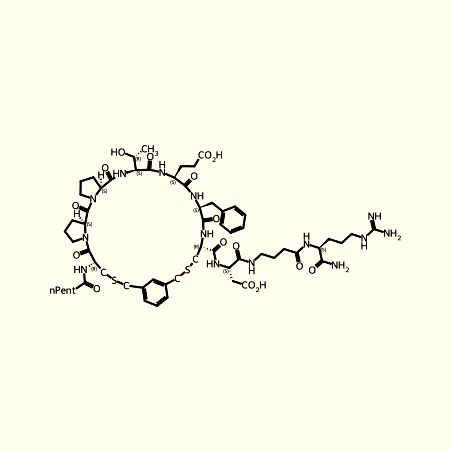 CCCCCC(=O)N[C@H]1CSCc2cccc(c2)CSC[C@@H](C(=O)N[C@@H](CC(=O)O)C(=O)NCCCC(=O)N[C@@H](CCCNC(=N)N)C(N)=O)NC(=O)[C@H](Cc2ccccc2)NC(=O)[C@H](CCC(=O)O)NC(=O)[C@H]([C@@H](C)O)NC(=O)[C@@H]2CCCN2C(=O)[C@@H]2CCCN2C1=O